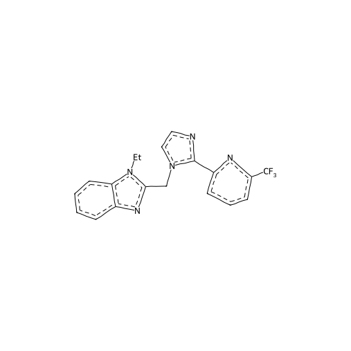 CCn1c(Cn2ccnc2-c2cccc(C(F)(F)F)n2)nc2ccccc21